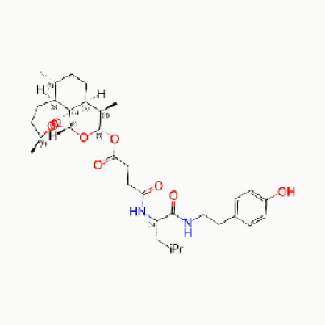 CC(C)C[C@H](NC(=O)CCC(=O)O[C@@H]1O[C@@H]2O[C@@]3(C)CC[C@H]4[C@H](C)CC[C@@H]([C@H]1C)[C@@]24OO3)C(=O)NCCc1ccc(O)cc1